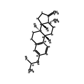 C=C1CC[C@H]2[C@@H]3CCc4cc(OC(C)F)ccc4[C@H]3CC[C@]12C